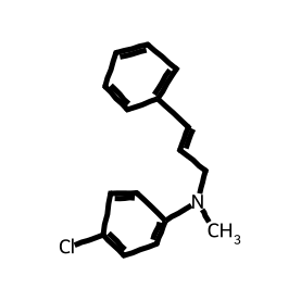 CN(CC=Cc1ccccc1)c1ccc(Cl)cc1